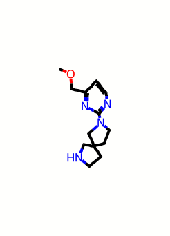 COCc1ccnc(N2CCC3(CCNC3)C2)n1